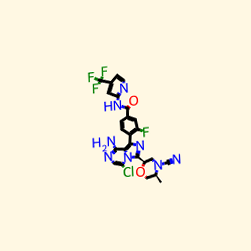 C[C@H]1CO[C@@H](c2nc(-c3ccc(C(=O)Nc4cc(C(F)(F)F)ccn4)cc3F)c3c(N)ncc(Cl)n23)CN1C#N